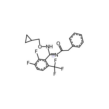 O=C(Cc1ccccc1)/N=C(\NOCC1CC1)c1c(C(F)(F)F)ccc(F)c1F